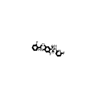 CC(Nc1cc(F)c(S(=O)(=O)Nc2cccc(F)n2)cc1Cl)c1ccccc1F